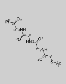 CC(=O)SCC(=O)NCC(=O)NCC(=O)NCC(=O)C(C)C